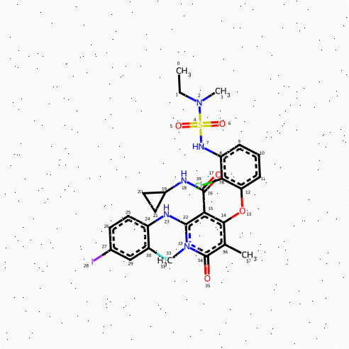 CCN(C)S(=O)(=O)Nc1cccc(Oc2c(C(=O)NC3CC3)c(Nc3ccc(I)cc3F)n(C)c(=O)c2C)c1Cl